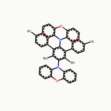 CC(C)(C)c1c(-c2ccc(C#N)cc2)c(N2c3ccccc3Oc3ccccc32)c(-c2ccc(C#N)cc2)c(C(C)(C)C)c1N1c2ccccc2Oc2ccccc21